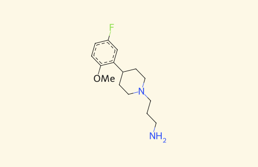 COc1ccc(F)cc1C1CCN(CCCN)CC1